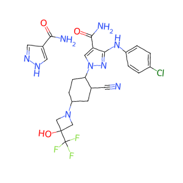 N#CC1CC(N2CC(O)(C(F)(F)F)C2)CCC1n1cc(C(N)=O)c(Nc2ccc(Cl)cc2)n1.NC(=O)c1cn[nH]c1